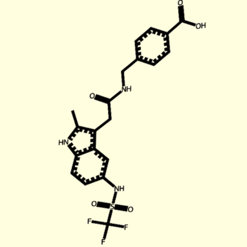 Cc1[nH]c2ccc(NS(=O)(=O)C(F)(F)F)cc2c1CC(=O)NCc1ccc(C(=O)O)cc1